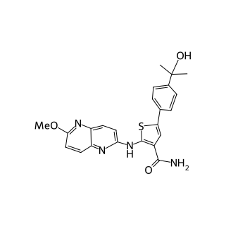 COc1ccc2nc(Nc3sc(-c4ccc(C(C)(C)O)cc4)cc3C(N)=O)ccc2n1